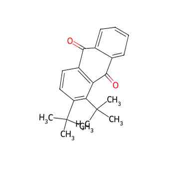 CC(C)(C)c1ccc2c(c1C(C)(C)C)C(=O)c1ccccc1C2=O